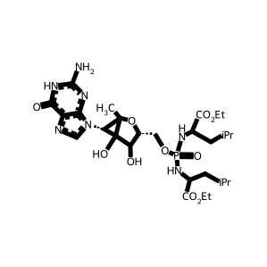 CCOC(=O)C(CC(C)C)NP(=O)(NC(CC(C)C)C(=O)OCC)OC[C@H]1OC2(C)[C@@H](n3cnc4c(=O)[nH]c(N)nc43)C2(O)C1O